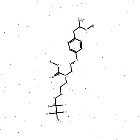 CCOC(Cc1ccc(OCCN(CCCCC(F)(F)C(F)(F)C(F)(F)F)C(=O)OC(C)C)cc1)C(=O)O